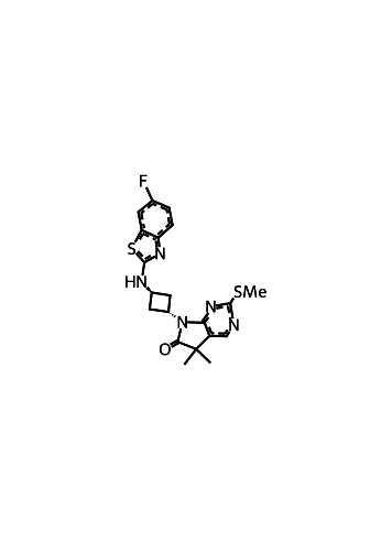 CSc1ncc2c(n1)N([C@H]1C[C@H](Nc3nc4ccc(F)cc4s3)C1)C(=O)C2(C)C